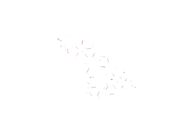 O=C(C=CNc1cccc2c1C(=O)N(C1CCC(=O)NC1=O)C2=O)Nc1cccc(-c2ccc3c(c2)[C@H]2[C@H](CCN2Cc2ccncc2)[C@@H](CO)N3)c1